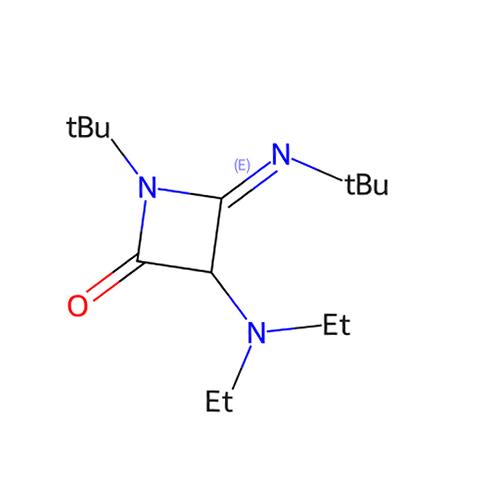 CCN(CC)C1C(=O)N(C(C)(C)C)/C1=N/C(C)(C)C